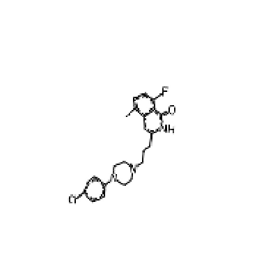 Cc1ccc(F)c2c(=O)[nH]c(CCCN3CCN(c4ccc(Cl)cc4)CC3)cc12